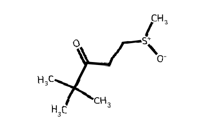 C[S+]([O-])CCC(=O)C(C)(C)C